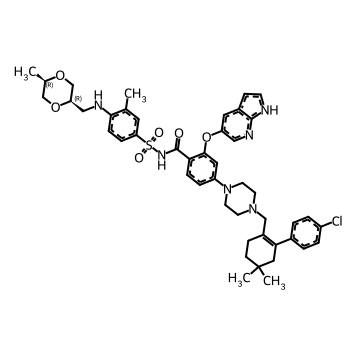 Cc1cc(S(=O)(=O)NC(=O)c2ccc(N3CCN(CC4=C(c5ccc(Cl)cc5)CC(C)(C)CC4)CC3)cc2Oc2cnc3[nH]ccc3c2)ccc1NC[C@@H]1CO[C@H](C)CO1